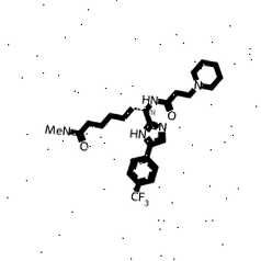 CNC(=O)CCCCC[C@H](NC(=O)CCN1CCCCC1)c1ncc(-c2ccc(C(F)(F)F)cc2)[nH]1